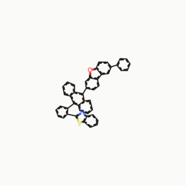 c1ccc(-c2ccc3oc4cc(-c5c6ccccc6c(-c6ccccc6-c6nc7ccccc7s6)c6ccccc56)ccc4c3c2)cc1